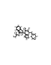 CCC(=O)OC(=O)[C@](C)(Cc1ccccc1)N(C(=O)N(C)CCN1CCOCC1)c1cscn1